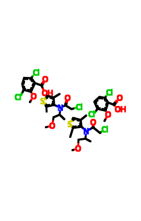 COCC(C)N(C(=O)CCl)c1c(C)csc1C.COCC(C)N(C(=O)CCl)c1c(C)csc1C.COc1c(Cl)ccc(Cl)c1C(=O)O.COc1c(Cl)ccc(Cl)c1C(=O)O